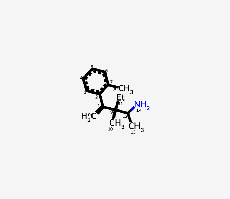 C=C(c1ccccc1C)C(C)(CC)C(C)N